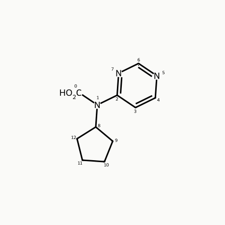 O=C(O)N(c1ccn[c]n1)C1CCCC1